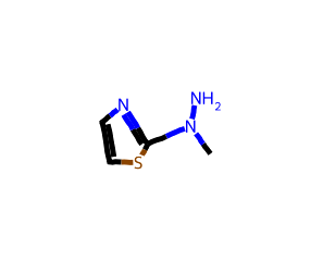 CN(N)c1nccs1